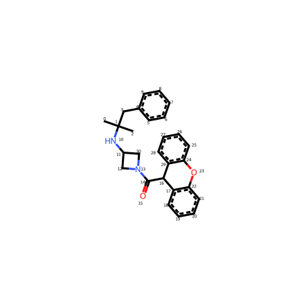 CC(C)(Cc1ccccc1)NC1CN(C(=O)C2c3ccccc3Oc3ccccc32)C1